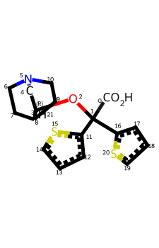 O=C(O)C(O[C@H]1CN2CCC1CC2)(c1cccs1)c1cccs1